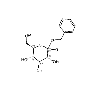 OC[C@H]1O[C@](Cl)(OCc2ccccc2)[C@H](O)[C@@H](O)[C@@H]1O